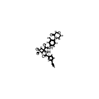 C#Cc1ccc(C(=O)NC2(C(=O)Nc3ccc(N4CCOCC4=O)c(C)c3)CS(=O)(=O)C2)s1